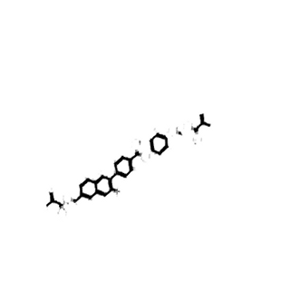 C=C(C)C(=O)OCOc1ccc(OC(=O)c2ccc(-c3cc4ccc(COC(=O)C(=C)C)cc4cc3F)cc2)cc1